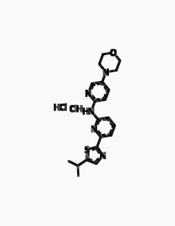 CC(C)c1cnc(-c2cccc(Nc3ccc(N4CCOCC4)cn3)n2)s1.Cl.Cl